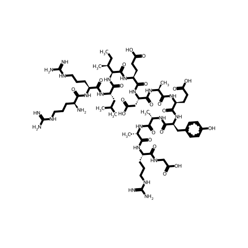 CC[C@H](C)[C@H](NC(=O)[C@H](CC(C)C)NC(=O)[C@H](CCCNC(=N)N)NC(=O)[C@@H](N)CCCNC(=N)N)C(=O)N[C@@H](CCC(=O)O)C(=O)N[C@@H](CC(=O)O)C(=O)N[C@@H](C)C(=O)N[C@@H](CCC(=O)O)C(=O)N[C@@H](Cc1ccc(O)cc1)C(=O)N[C@@H](C)C(=O)N[C@@H](C)C(=O)N[C@@H](CCCNC(=N)N)C(=O)NCC(=O)O